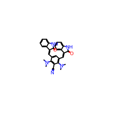 CN(C)c1c(C=C2C(=O)Nc3ccccc32)cc(C=C2C(=O)Nc3ccccc32)c(N(C)C)c1C#N